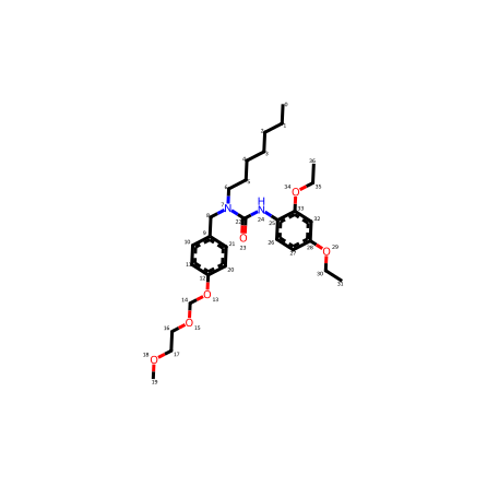 CCCCCCCN(Cc1ccc(OCOCCOC)cc1)C(=O)Nc1ccc(OCC)cc1OCC